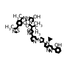 Cc1ncsc1-c1ccc([C@H](C)NC(=O)[C@@H]2C[C@@H](O)CN2C(=O)C(c2cc(-c3ccnc(N4CC[C@@H](c5cc6nnc(-c7ccccc7O)cc6n5C5CC5)C4)c3)no2)C(C)C)cc1